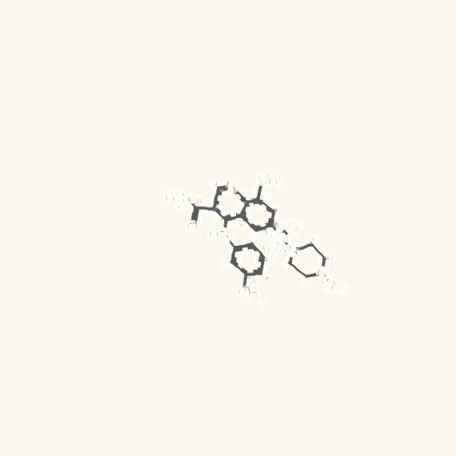 CC(=O)N1CCN(S(=O)(=O)c2cc(C)c3ncc(C(N)=O)c(Nc4cccc(C)c4)c3c2)CC1